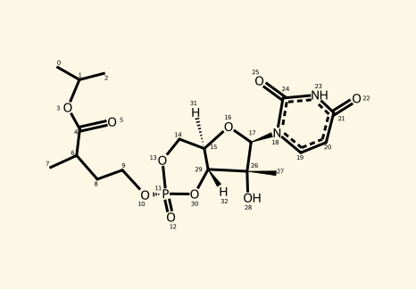 CC(C)OC(=O)C(C)CCO[P@]1(=O)OC[C@H]2O[C@@H](n3ccc(=O)[nH]c3=O)[C@](C)(O)[C@@H]2O1